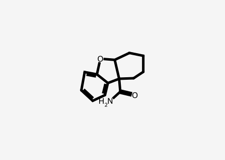 NC(=O)C12CCCCC1Oc1ccccc12